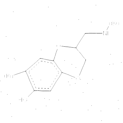 CCCCNCC1COc2cc(O)c(C(C)(C)C)cc2O1